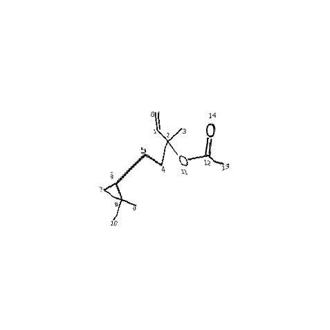 C=CC(C)(CCC1CC1(C)C)OC(C)=O